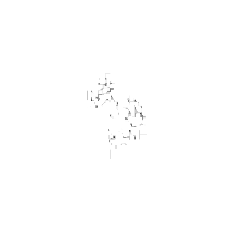 CN1C=C(NC(=O)C2=C3N=C(NC4CNCC(F)C4)C=CN3NC2)C(C(F)(F)F)N1